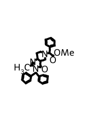 COC(=O)C(c1ccccc1)N1CCC2N=C(C)N(C(c3ccccc3)c3ccccc3)C(=O)C2C1